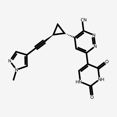 Cn1cc(C#C[C@H]2C[C@@H]2c2cc(-c3c[nH]c(=O)[nH]c3=O)nnc2C#N)cn1